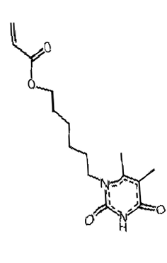 C=CC(=O)OCCCCCCn1c(C)c(C)c(=O)[nH]c1=O